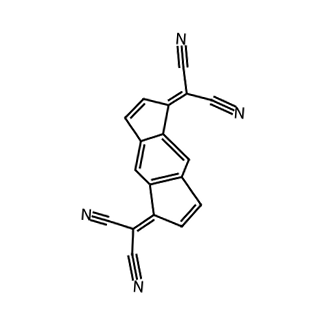 N#CC(C#N)=C1C=Cc2cc3c(cc21)C=CC3=C(C#N)C#N